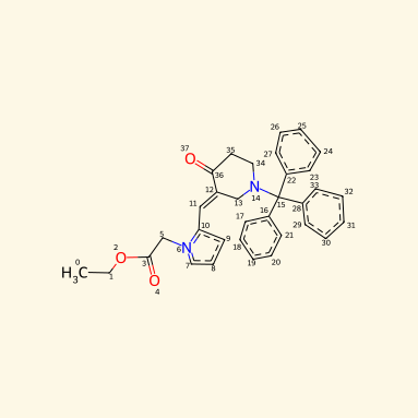 CCOC(=O)Cn1cccc1/C=C1\CN(C(c2ccccc2)(c2ccccc2)c2ccccc2)CCC1=O